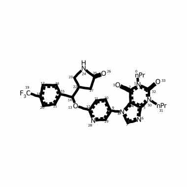 CCCn1c(=O)c2c(ncn2-c2ccc(OC(c3ccc(C(F)(F)F)cc3)C3CNC(=O)C3)nc2)n(CCC)c1=O